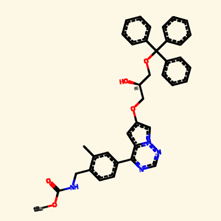 Cc1cc(-c2ncnn3cc(OC[C@@H](O)COC(c4ccccc4)(c4ccccc4)c4ccccc4)cc23)ccc1CNC(=O)OC(C)(C)C